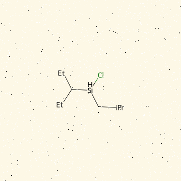 CCC(CC)[SiH](Cl)CC(C)C